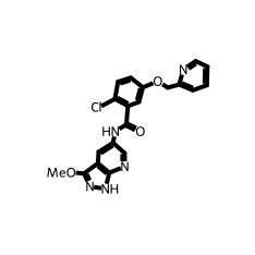 COc1n[nH]c2ncc(NC(=O)c3cc(OCc4ccccn4)ccc3Cl)cc12